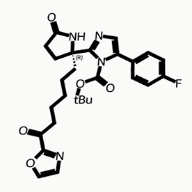 CC(C)(C)OC(=O)n1c(-c2ccc(F)cc2)cnc1[C@@]1(CCCCCC(=O)c2ncco2)CCC(=O)N1